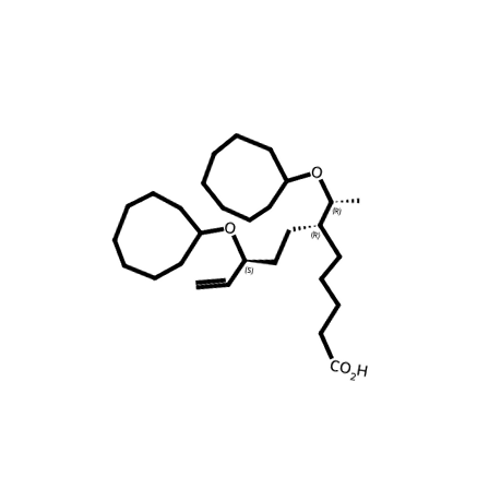 C=C[C@H](CC[C@@H](CCCCC(=O)O)[C@@H](C)OC1CCCCCCC1)OC1CCCCCCC1